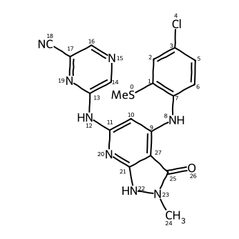 CSc1cc(Cl)ccc1Nc1cc(Nc2cncc(C#N)n2)nc2[nH]n(C)c(=O)c12